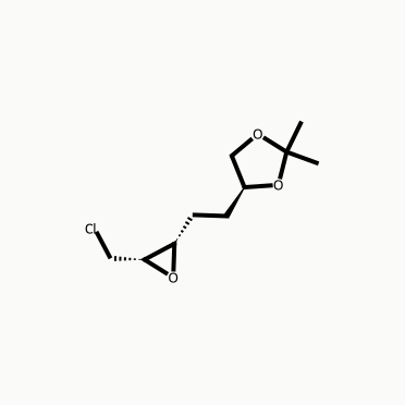 CC1(C)OC[C@H](CC[C@@H]2O[C@@H]2CCl)O1